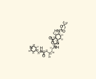 Cc1c(NC(=O)OC(C)(C)C)ccc2nc(NCCC(C)CC(=O)NCc3ccncc3)oc(=O)c12